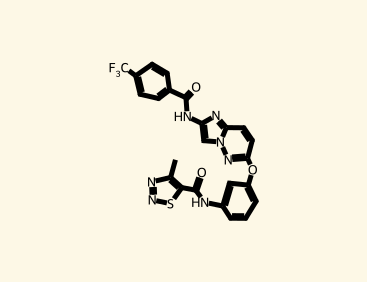 Cc1nnsc1C(=O)Nc1cccc(Oc2ccc3nc(NC(=O)c4ccc(C(F)(F)F)cc4)cn3n2)c1